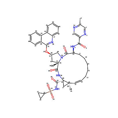 Cc1cnc(C(=O)N[C@H]2CCCCCC=C[C@H]3C[C@@]3(C(=O)NS(=O)(=O)C3CC3)NC(=O)[C@@H]3C[C@@H](Oc4nc5ccccc5c5ccccc45)CN3C2=O)cn1